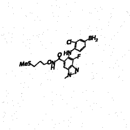 Bc1ccc(Nc2c(C(=O)NOCCCSC)cc3c(ncn3C)c2F)c(Cl)c1